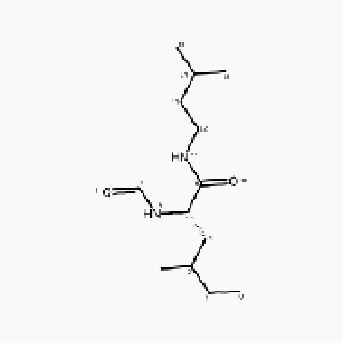 CCC(C)C[C@H](NC=O)C(=O)NCCC(C)C